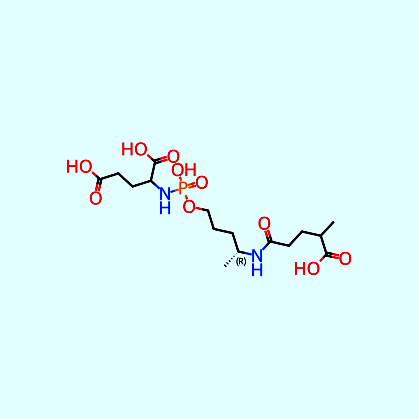 CC(CCC(=O)N[C@H](C)CCCOP(=O)(O)NC(CCC(=O)O)C(=O)O)C(=O)O